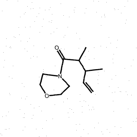 C=CC(C)C(C)C(=O)N1CCOCC1